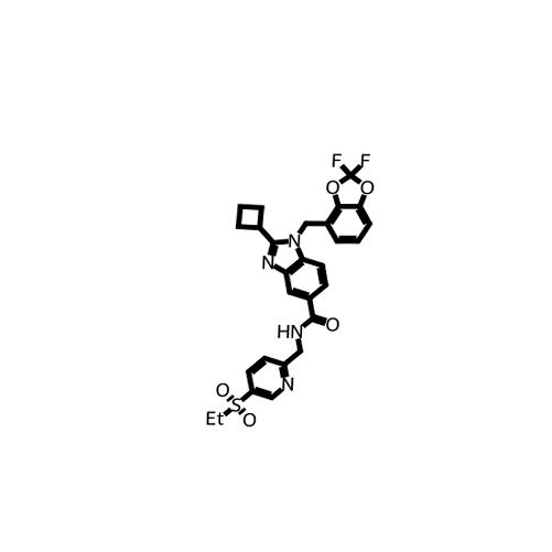 CCS(=O)(=O)c1ccc(CNC(=O)c2ccc3c(c2)nc(C2CCC2)n3Cc2cccc3c2OC(F)(F)O3)nc1